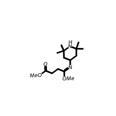 COC(=O)CCC(=NC1CC(C)(C)NC(C)(C)C1)OC